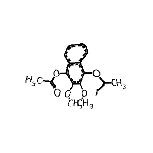 COc1c(OC)c(OC(C)I)c2ccccc2c1OC(C)=O